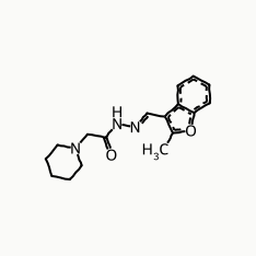 Cc1oc2ccccc2c1C=NNC(=O)CN1CCCCC1